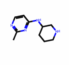 Cc1nccc(NC2CCCNC2)n1